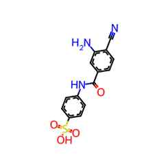 N#Cc1ccc(C(=O)Nc2ccc(S(=O)(=O)O)cc2)cc1N